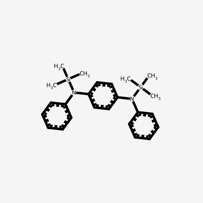 C[Si](C)(C)N(c1ccccc1)c1ccc(N(c2ccccc2)[Si](C)(C)C)cc1